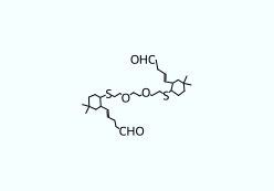 CC1(C)CCC(SCCOCCOCCSC2CCC(C)(C)CC2C=CCCC=O)C(C=CCCC=O)C1